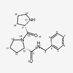 O=C(NCc1ccccc1)[C@@H]1CCCN1C(=O)[C@@H]1CCCN1